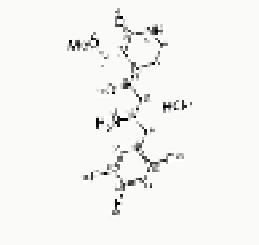 COC[C@@H]1C(=O)NCCN1C(=O)C[C@H](N)Cc1cc(F)c(F)cc1F.Cl